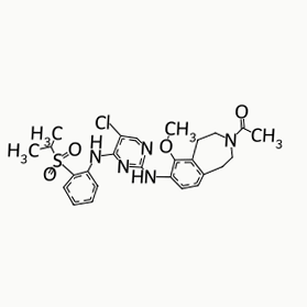 COc1c(Nc2ncc(Cl)c(Nc3ccccc3S(=O)(=O)C(C)C)n2)ccc2c1CCN(C(C)=O)CC2